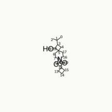 CC(C)C1CC2(CCN(S(=O)(=O)C3CCC3)CC2)C1O